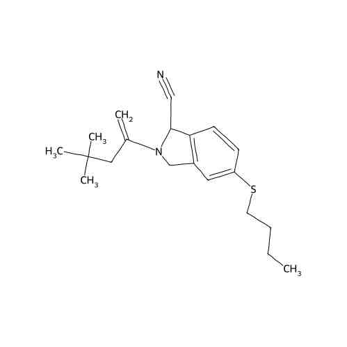 C=C(CC(C)(C)C)N1Cc2cc(SCCCC)ccc2C1C#N